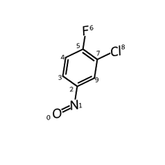 O=Nc1ccc(F)c(Cl)c1